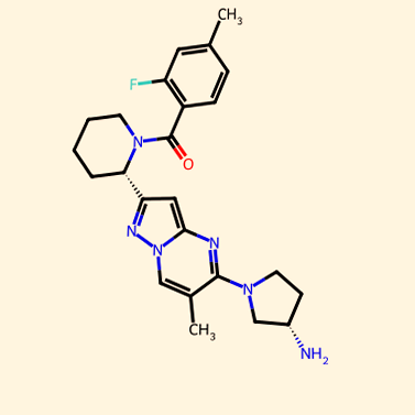 Cc1ccc(C(=O)N2CCCC[C@H]2c2cc3nc(N4CC[C@H](N)C4)c(C)cn3n2)c(F)c1